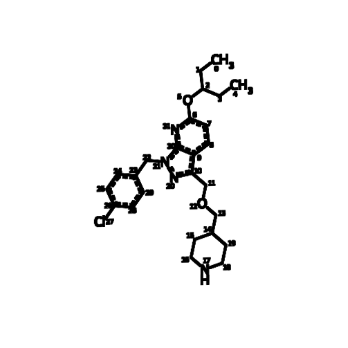 CCC(CC)Oc1ccc2c(COCC3CCNCC3)nn(Cc3ccc(Cl)cc3)c2n1